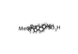 CON(C)C(=O)C1=CCC2C3CCc4cc(NS(=O)(=O)O)ccc4C3CC[C@]12C